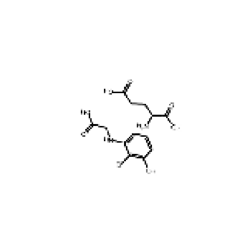 NC(CCC(=O)O)C(=O)O.O=C(O)CNc1cccc(O)c1Cl